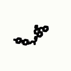 Cc1ccc(N2CCN(CCC(C)COc3cccc4c3CCC(=O)N4Cc3ccccc3)CC2)cc1